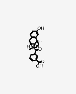 CN1CC[C@]2(C)c3cc(O)ccc3C[C@@H]1[C@@H]2N(C)C(=O)c1cccc(C(=O)O)c1